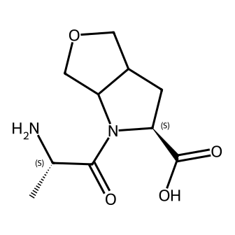 C[C@H](N)C(=O)N1C2COCC2C[C@H]1C(=O)O